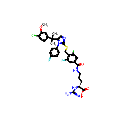 COc1cc(C(C)(C)c2cnc(SCc3c(F)cc(C(=O)NCCC[C@H](NC(=N)N)C(=O)O)cc3Cl)n2-c2ccc(F)cc2)ccc1Cl